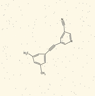 Cc1cc(C)cc(C#Cc2cncc(C#N)c2)c1